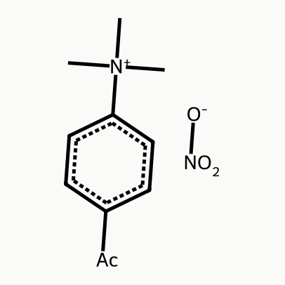 CC(=O)c1ccc([N+](C)(C)C)cc1.O=[N+]([O-])[O-]